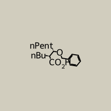 CCCCC[C@H](OCc1ccccc1)[C@H](CCCC)C(=O)O